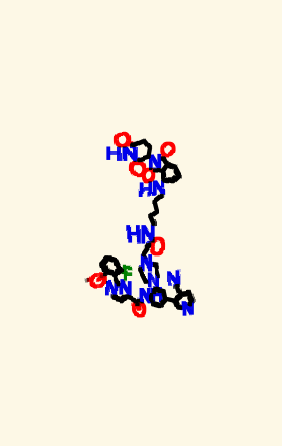 COc1cccc(F)c1-c1nccc(C(=O)Nc2ccc(-c3cnccc3C#N)cc2N2CCN(CC(=O)NCCCCCNc3cccc4c3C(=O)N(C3CCC(=O)NC3=O)C4=O)CC2)n1